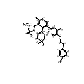 CCC(C)(C)O[C@H](C(=O)O)c1c(C)ncc(-c2ncc(OCCc3ccc(F)cc3)c(C)n2)c1N1CCC(C)(C)CC1